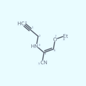 C#CCNC(C#N)=COCC